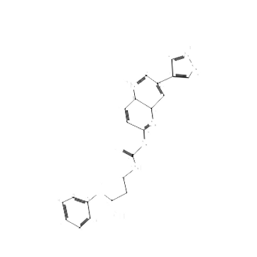 C[C@@H](CCNC(=O)NC1=NC2C=C(c3cn[nH]c3)C=NC2C=C1)Oc1ccccc1